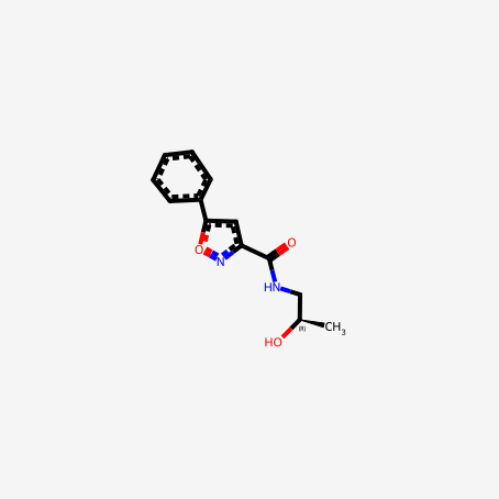 C[C@@H](O)CNC(=O)c1cc(-c2ccccc2)on1